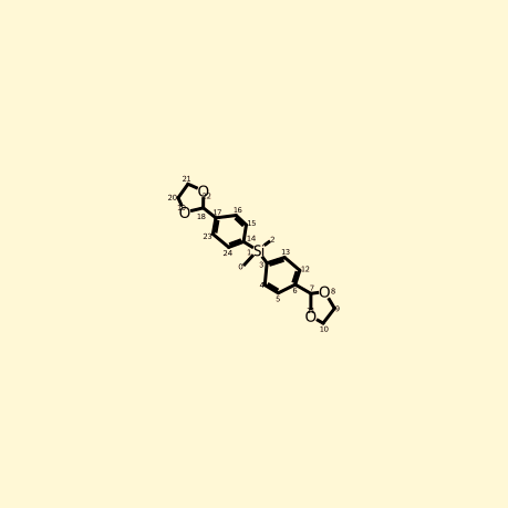 C[Si](C)(c1ccc(C2OCCO2)cc1)c1ccc(C2OCCO2)cc1